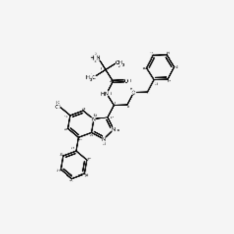 CC(C)(N)C(=O)NC(COCc1ccccc1)c1nnc2c(-c3ccccc3)cc(Cl)cn12